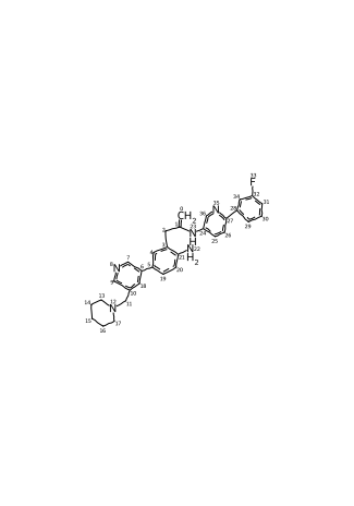 C=C(Cc1cc(-c2cncc(CN3CCCCC3)c2)ccc1N)Nc1ccc(-c2cccc(F)c2)nc1